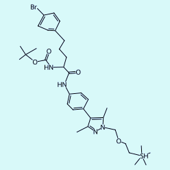 Cc1nn(COCC[SH](C)(C)(C)C)c(C)c1-c1ccc(NC(=O)C(CCCc2ccc(Br)cc2)NC(=O)OC(C)(C)C)cc1